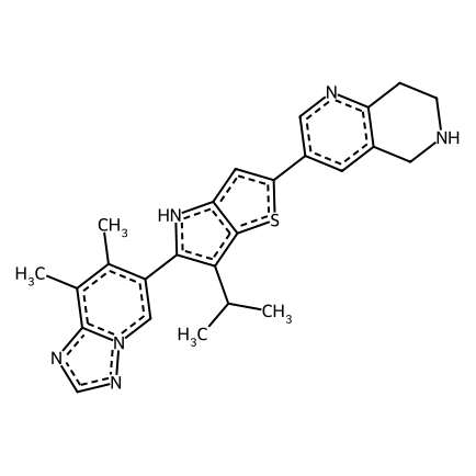 Cc1c(-c2[nH]c3cc(-c4cnc5c(c4)CNCC5)sc3c2C(C)C)cn2ncnc2c1C